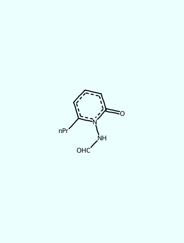 CCCc1cccc(=O)n1NC=O